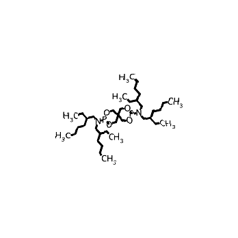 CCCCC(CC)CN(CC(CC)CCCC)P1OCC2(CO1)COP(N(CC(CC)CCCC)CC(CC)CCCC)OC2